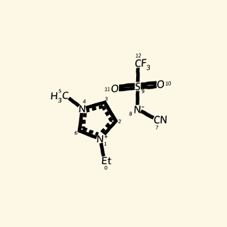 CC[n+]1ccn(C)c1.N#C[N-]S(=O)(=O)C(F)(F)F